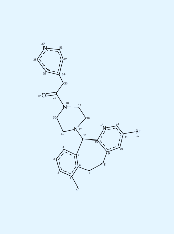 Cc1cccc2c1CCc1cc(Br)cnc1C2N1CCN(C(=O)Cc2ccncc2)CC1